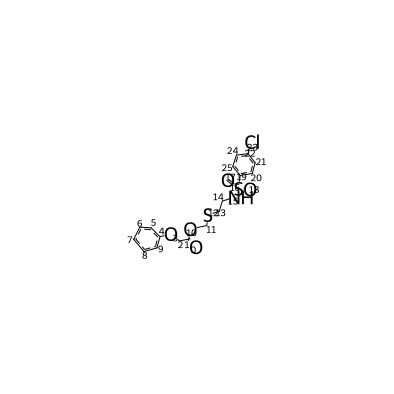 O=C(COc1ccccc1)OCSCCNS(=O)(=O)c1ccc(Cl)cc1